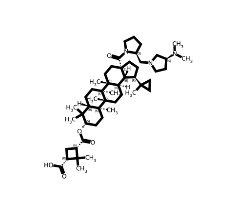 CN(C)[C@H]1CCN(C[C@@H]2CCCN2C(=O)[C@]23CC[C@@H](C4(C)CC4)[C@@H]2[C@H]2CC[C@@]4(C)[C@@](C)(CC[C@H]5C(C)(C)[C@@H](OC(=O)[C@H]6C[C@@H](C(=O)O)C6(C)C)CC[C@@]54C)[C@]2(C)CC3)C1